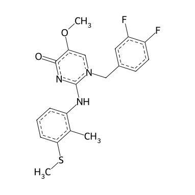 COc1cn(Cc2ccc(F)c(F)c2)c(Nc2cccc(SC)c2C)nc1=O